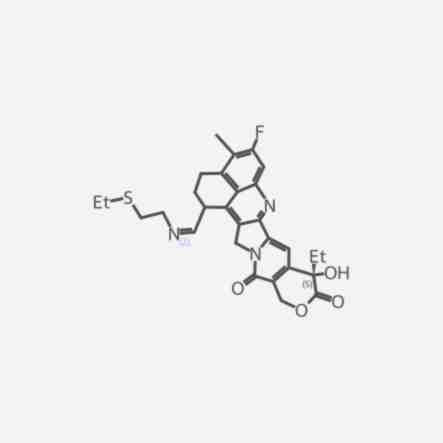 CCSCC/N=C\C1CCc2c(C)c(F)cc3nc4c(c1c23)Cn1c-4cc2c(c1=O)COC(=O)[C@]2(O)CC